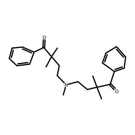 CN(CCC(C)(C)C(=O)c1ccccc1)CCC(C)(C)C(=O)c1ccccc1